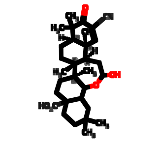 CC1(C)CCC2(C(=O)O)CC[C@]3(C)C(OC(O)C[C@@H]4[C@@]5(C)C=C(C#N)C(=O)C(C)(C)[C@@H]5CC[C@]43C)C2C1